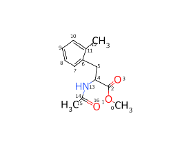 COC(=O)C(Cc1ccccc1C)NC(C)=O